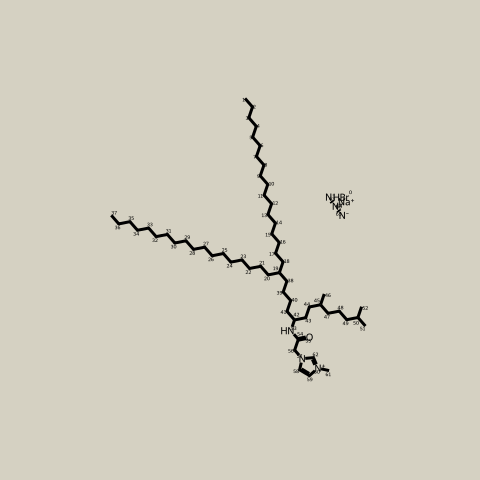 Br.CCCCCCCCCCCCCCCCCCC(CCCCCCCCCCCCCCCCCC)CCCCC(CCC(C)CCCC(C)C)NC(=O)Cn1cc[n+](C)c1.[N-]=[N+]=[N-].[Na+]